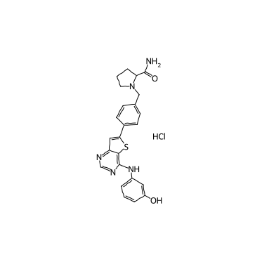 Cl.NC(=O)C1CCCN1Cc1ccc(-c2cc3ncnc(Nc4cccc(O)c4)c3s2)cc1